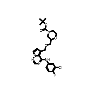 CC(C)(C)OC(=O)N1CCOC(COCc2ccn3ncnc(Nc4ccc(F)c(Cl)c4)c23)C1